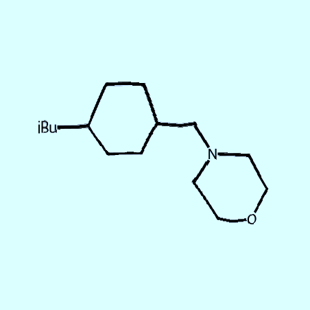 CCC(C)C1CCC(CN2CCOCC2)CC1